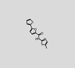 Cc1cnc(NC(=O)c2ccc(-c3cccs3)o2)s1